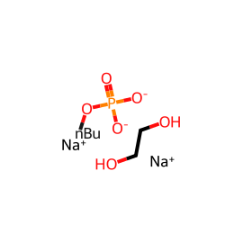 CCCCOP(=O)([O-])[O-].OCCO.[Na+].[Na+]